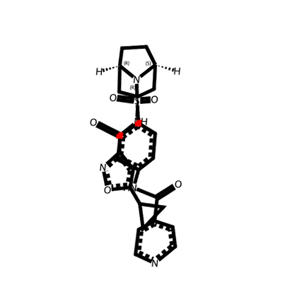 O=C(Nc1ccc(S(=O)(=O)N2[C@@H]3CC[C@H]2C[C@@H](NC(=O)c2cc(C4CC4)on2)C3)cc1)c1ccncc1